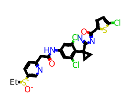 CC[S+]([O-])c1ccc(CC(=O)Nc2cc(Cl)c(C3(c4noc(-c5ccc(Cl)s5)n4)CC3)c(Cl)c2)nc1